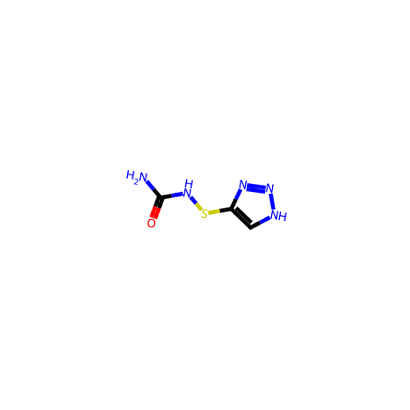 NC(=O)NSc1c[nH]nn1